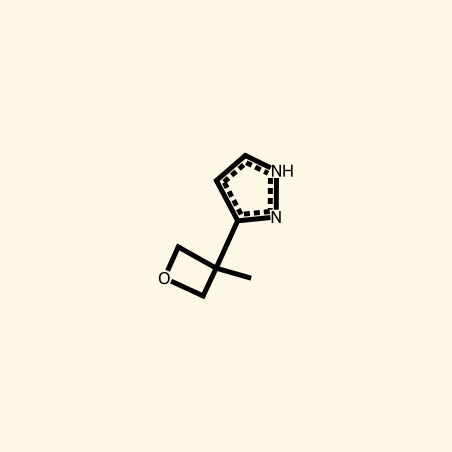 CC1(c2cc[nH]n2)COC1